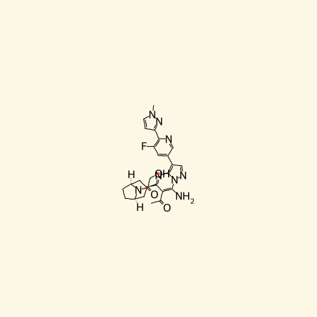 CC(=O)c1c([C@H]2C[C@H]3CC[C@@H](C2)N3C(=O)CO)nc2c(-c3cnc(-c4ccn(C)n4)c(F)c3)cnn2c1N